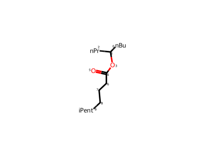 CCCCC(CCC)OC(=O)CCCC(C)CCC